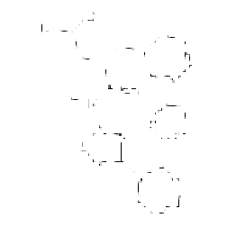 CN(C(=O)C(CC(=O)O)Cc1ccccc1)c1nc(-c2ccccc2-c2ccoc2)cs1